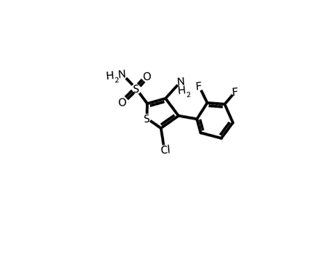 Nc1c(S(N)(=O)=O)sc(Cl)c1-c1cccc(F)c1F